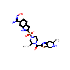 CCOC(=O)C1CN(S(=O)(=O)c2cc3ccc(/C(N)=N\O)cc3[nH]2)CCN1C(=O)c1nc2c(s1)CNC(C)C2